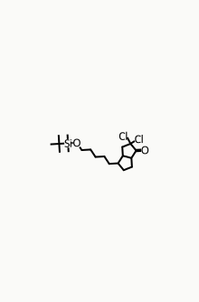 CC(C)(C)[Si](C)(C)OCCCCCC1CCC2C(=O)C(Cl)(Cl)CC12